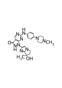 CN1CCN(c2ccc(Nc3ncc4c(=O)[nH]n(-c5cn6c(n5)C(C)(O)CC6)c4n3)cc2)CC1